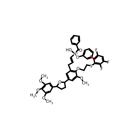 COc1cc(C2CCC(c3cc(OC)c(OC)c(OC)c3)O2)cc(C/C=C/[N+](O)(Oc2ccccc2)C(=O)c2ccccc2)c1OCCSc1c(F)c(F)cc(F)c1F